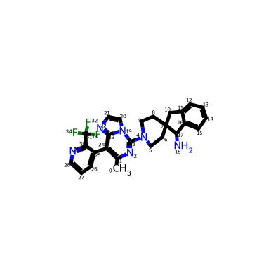 Cc1nc(N2CCC3(CC2)Cc2ccccc2C3N)n2ccnc2c1-c1cccnc1C(F)(F)F